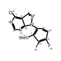 COc1c(-n2ncc3c(Cl)ncnc32)ccc(F)c1F